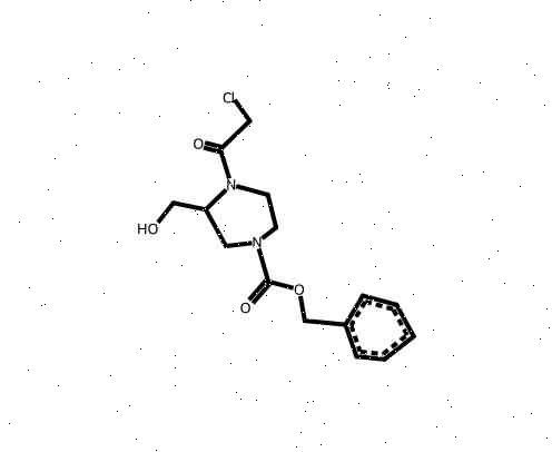 O=C(OCc1ccccc1)N1CCN(C(=O)CCl)C(CO)C1